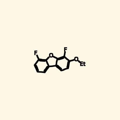 CCOc1ccc2c(oc3c(F)cccc32)c1F